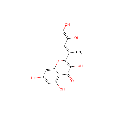 C/C(=C\C(O)=C\O)c1oc2cc(O)cc(O)c2c(=O)c1O